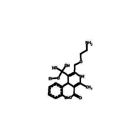 CCOC(O)(O)C1=C(COCCN)NC(C)=C(C(=O)OC)C1c1ccccc1Cl